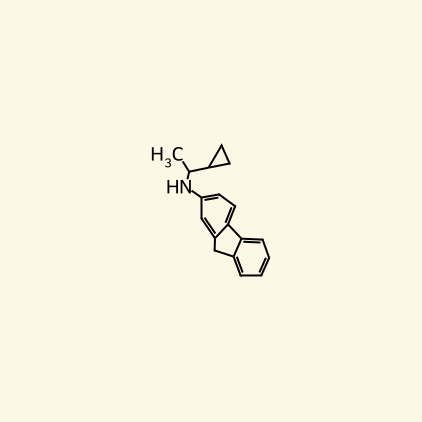 CC(Nc1ccc2c(c1)Cc1ccccc1-2)C1CC1